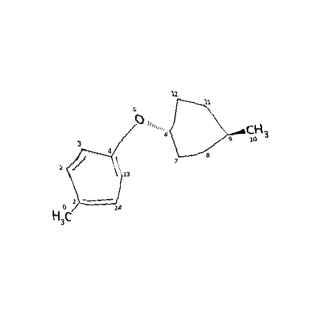 Cc1ccc(O[C@H]2CC[C@H](C)CC2)cc1